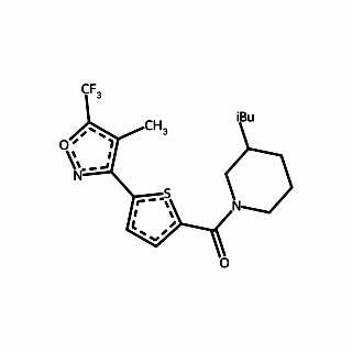 CCC(C)C1CCCN(C(=O)c2ccc(-c3noc(C(F)(F)F)c3C)s2)C1